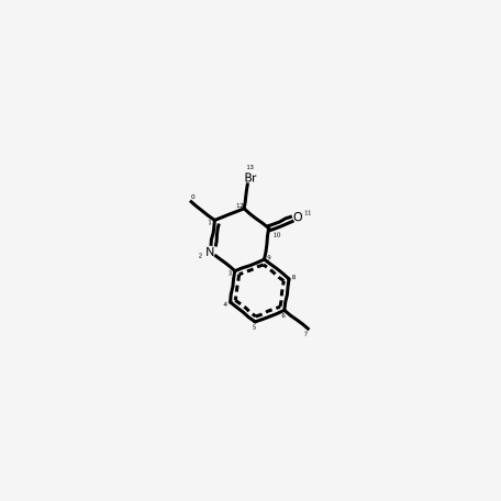 CC1=Nc2ccc(C)cc2C(=O)C1Br